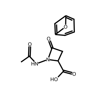 CC(=O)NN1C(=O)CC1C(=O)O.c1cc2cc(c1)O2